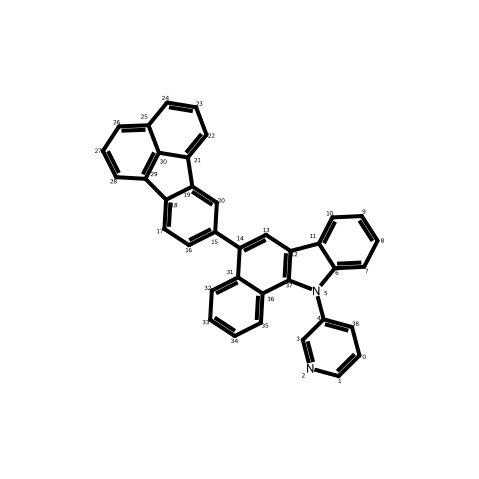 c1cncc(-n2c3ccccc3c3cc(-c4ccc5c(c4)-c4cccc6cccc-5c46)c4ccccc4c32)c1